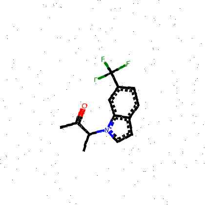 CC(=O)C(C)n1ccc2ccc(C(F)(F)F)cc21